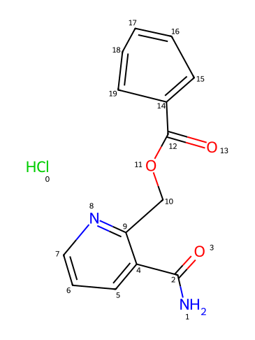 Cl.NC(=O)c1cccnc1COC(=O)c1ccccc1